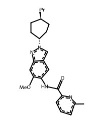 COc1cc2nn([C@H]3CC[C@H](C(C)C)CC3)cc2cc1NC(=O)c1cccc(C)n1